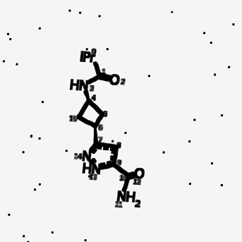 CC(C)C(=O)N[C@H]1C[C@@H](c2cc(C(N)=O)[nH]n2)C1